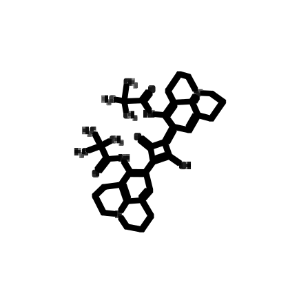 CC(C)(C)C(=O)Nc1c(C2=C(O)/C(=c3\cc4c5c(c3NC(=O)C(C)(C)C)CCC[N+]=5CCC4)C2=O)cc2c3c1CCCN3CCC2